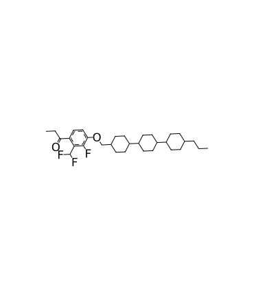 CCCC1CCC(C2CCC(C3CCC(COc4ccc(C(=O)CC)c(C(F)F)c4F)CC3)CC2)CC1